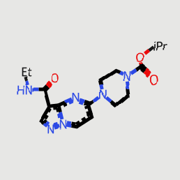 CCNC(=O)c1cnn2ccc(N3CCN(C(=O)OC(C)C)CC3)nc12